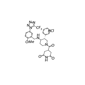 COc1ccc(-n2nnnc2C(F)(F)F)cc1CNC1CCN(C(=O)C2CC(=O)NC(=O)C2)C[C@H]1c1ccccc1.Cl